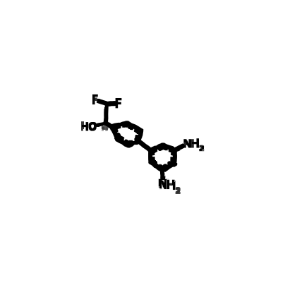 Nc1cc(N)cc(-c2ccc([C@@H](O)C(F)F)cc2)c1